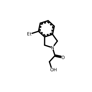 CCc1cccc2c1CN(C(=O)CO)C2